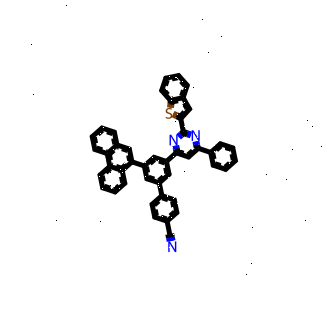 N#Cc1ccc(-c2cc(-c3cc(-c4ccccc4)nc(-c4cc5ccccc5s4)n3)cc(-c3cc4ccccc4c4ccccc34)c2)cc1